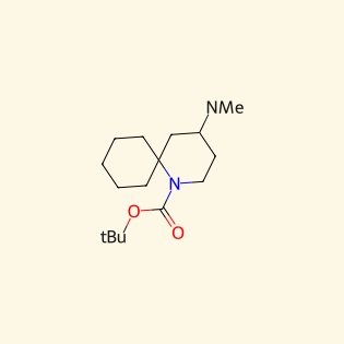 CNC1CCN(C(=O)OC(C)(C)C)C2(CCCCC2)C1